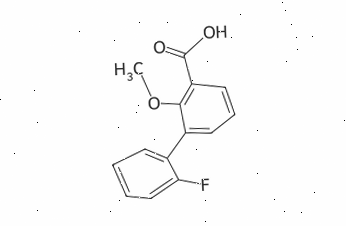 COc1c(C(=O)O)cccc1-c1ccccc1F